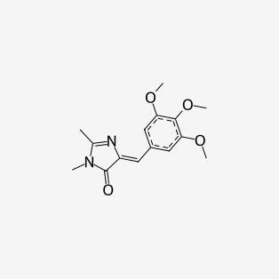 COc1cc(/C=C2\N=C(C)N(C)C2=O)cc(OC)c1OC